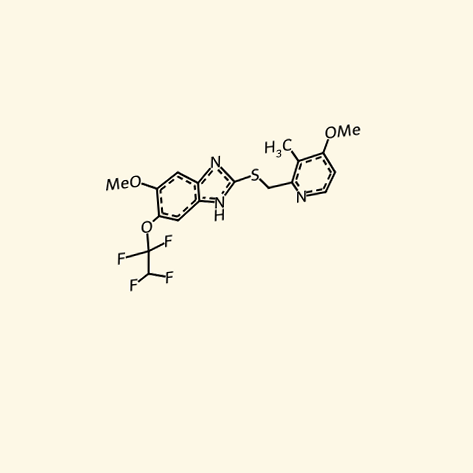 COc1cc2nc(SCc3nccc(OC)c3C)[nH]c2cc1OC(F)(F)C(F)F